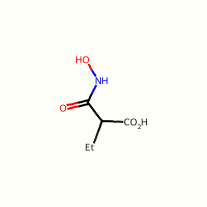 CCC(C(=O)O)C(=O)NO